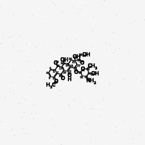 COc1cccc2c1C(=O)c1c(O)c3c(c(O)c1C2=O)C[C@](O)(C(=O)CO)C[C@@H]3O[C@@H]1C[C@H](N)[C@@H](O)[C@H](C)O1